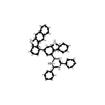 c1ccc(C2=NC(c3cc(-c4cccc5oc6cc7ccccc7cc6c45)cc4oc5ccccc5c34)NC(c3ccccc3)=N2)cc1